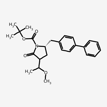 COC(C)C1C[C@@H](Cc2ccc(-c3ccccc3)cc2)N(C(=O)OC(C)(C)C)C1=O